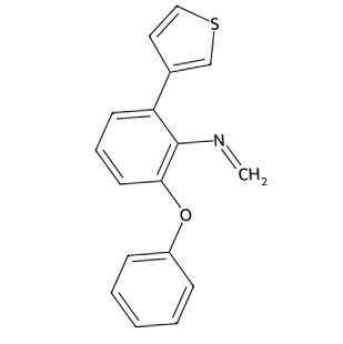 C=Nc1c(Oc2ccccc2)cccc1-c1ccsc1